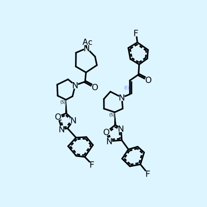 CC(=O)N1CCC(C(=O)N2CCC[C@H](c3nc(-c4ccc(F)cc4)no3)C2)CC1.O=C(/C=C/N1CCC[C@H](c2nc(-c3ccc(F)cc3)no2)C1)c1ccc(F)cc1